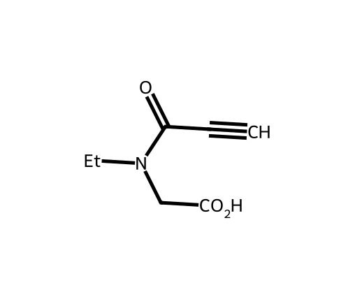 C#CC(=O)N(CC)CC(=O)O